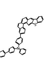 c1ccc(-c2ccc(N(c3ccccc3)c3ccc(-c4ccc5c(ccc6ccc7cc8c(cc7c65)sc5ccccc58)c4)cc3)cc2)cc1